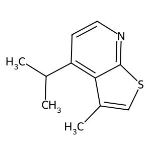 Cc1csc2nccc(C(C)C)c12